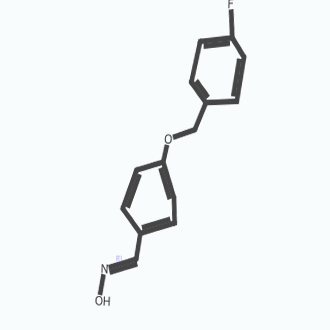 O/N=C/c1ccc(OCc2ccc(F)cc2)cc1